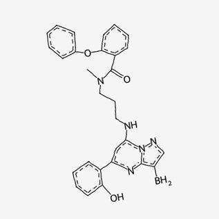 Bc1cnn2c(NCCCN(C)C(=O)c3ccccc3Oc3ccccc3)cc(-c3ccccc3O)nc12